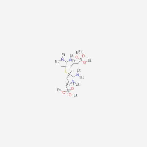 CCO[Si](CCCC(C)(SC(C)(CCC[Si](OCC)(OCC)OCC)C(N(CC)CC)N(CC)CC)C(N(CC)CC)N(CC)CC)(OCC)OCC